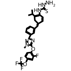 CC(C)C1=C(NC(=S)NN)C=CC(=Cc2cccc(-c3nc(Oc4ccc(OC(F)(F)F)cc4F)n(C)n3)c2)C1